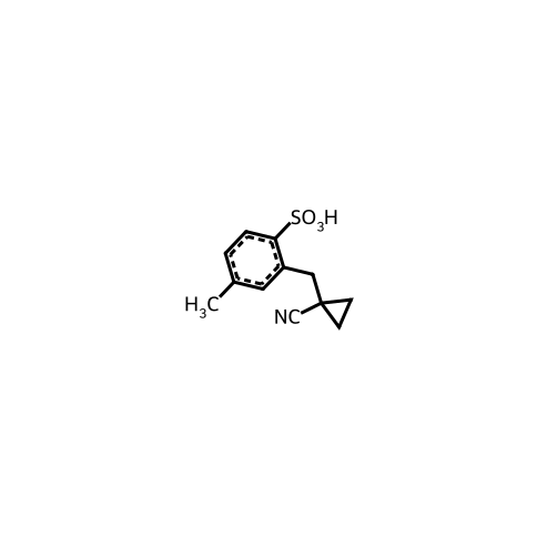 Cc1ccc(S(=O)(=O)O)c(CC2(C#N)CC2)c1